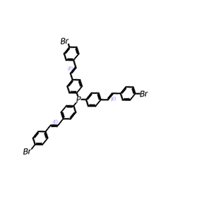 Brc1ccc(/C=C/c2ccc(P(c3ccc(/C=C/c4ccc(Br)cc4)cc3)c3ccc(/C=C/c4ccc(Br)cc4)cc3)cc2)cc1